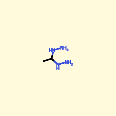 CC(NN)NN